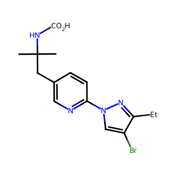 CCc1nn(-c2ccc(CC(C)(C)NC(=O)O)cn2)cc1Br